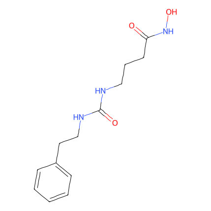 O=C(CCCNC(=O)NCCc1ccccc1)NO